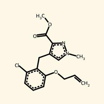 C=CCOc1cccc(Cl)c1Cc1cn(C)nc1C(=O)OC